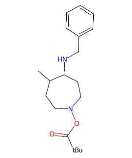 CC1CCN(OC(=O)C(C)(C)C)CCC1NCc1ccccc1